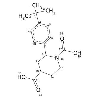 CC(C)(C)c1ccc(C2CC(C(=O)O)CCN2C(=O)O)cc1